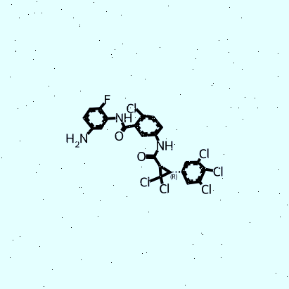 Nc1ccc(F)c(NC(=O)c2cc(NC(=O)C3[C@H](c4cc(Cl)c(Cl)c(Cl)c4)C3(Cl)Cl)ccc2Cl)c1